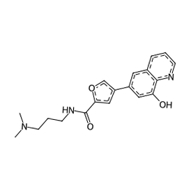 CN(C)CCCNC(=O)c1cc(-c2cc(O)c3ncccc3c2)co1